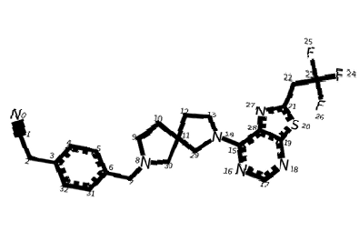 N#CCc1ccc(CN2CCC3(CCN(c4ncnc5sc(CC(F)(F)F)nc45)C3)C2)cc1